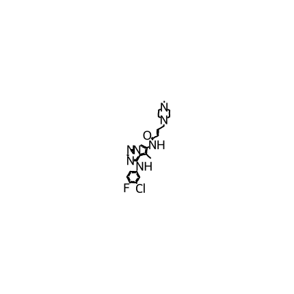 Cc1c(NC(=O)/C=C/CN2CCN(C)CC2)cn2ncnc(Nc3ccc(F)c(Cl)c3)c12